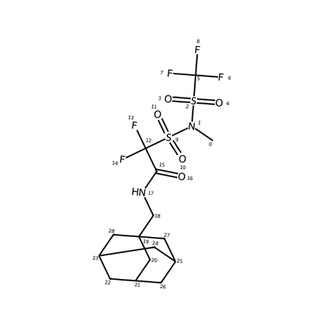 CN(S(=O)(=O)C(F)(F)F)S(=O)(=O)C(F)(F)C(=O)NCC12CC3CC(CC(C3)C1)C2